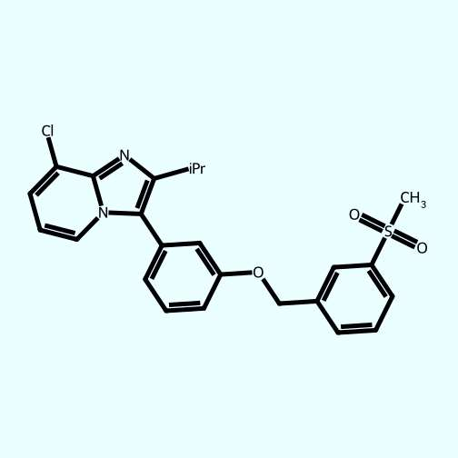 CC(C)c1nc2c(Cl)cccn2c1-c1cccc(OCc2cccc(S(C)(=O)=O)c2)c1